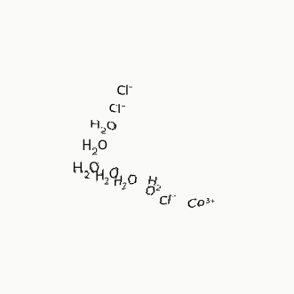 O.O.O.O.O.O.[Cl-].[Cl-].[Cl-].[Co+3]